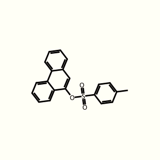 Cc1ccc(S(=O)(=O)Oc2cc3ccccc3c3ccccc23)cc1